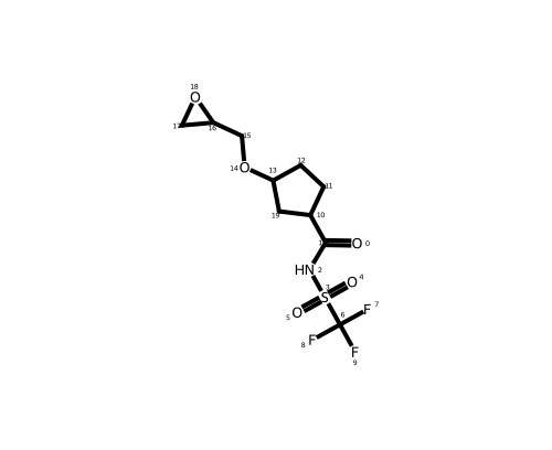 O=C(NS(=O)(=O)C(F)(F)F)C1CCC(OCC2CO2)C1